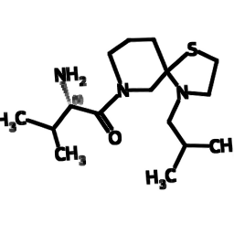 CC(C)CN1CCSC12CCCN(C(=O)[C@@H](N)C(C)C)C2